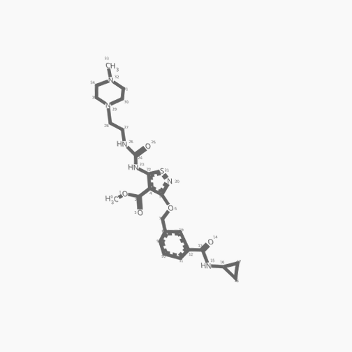 COC(=O)c1c(OCc2cccc(C(=O)NC3CC3)c2)nsc1NC(=O)NCCN1CCN(C)CC1